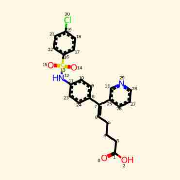 O=C(O)CCCC=C(c1ccc(NS(=O)(=O)c2ccc(Cl)cc2)cc1)c1cccnc1